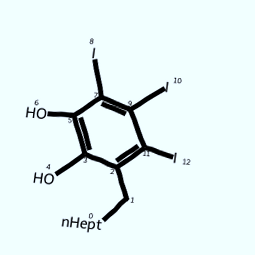 CCCCCCCCc1c(O)c(O)c(I)c(I)c1I